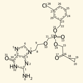 Nc1nc2c(ncn2CCOCP(=O)(OCC(=O)C2CC2)OCc2cccc(Cl)c2)c(=O)[nH]1